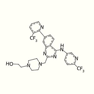 OCCN1CCN(Cc2nc(Nc3ccc(C(F)(F)F)nc3)c3ccc(-c4ncccc4C(F)(F)F)cc3n2)CC1